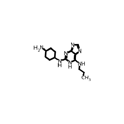 CCCNc1[nH]c(NC2CCC(N)CC2)nc2ncnc1-2